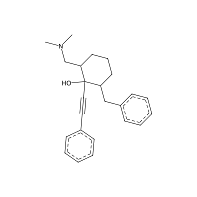 CN(C)CC1CCCC(Cc2ccccc2)C1(O)C#Cc1ccccc1